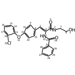 O=C(NCCO)C(=Cc1ccc(Oc2ccccc2Cl)cc1)NC(=O)c1ccccc1